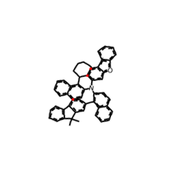 CC1(C)c2ccccc2-c2ccc(-c3c(N(c4ccc5c(c4)oc4ccccc45)c4ccc5ccccc5c4C4CCCCC4)ccc4ccccc34)cc21